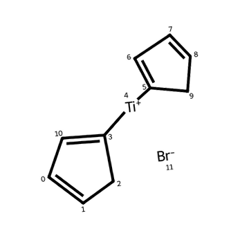 C1=CC[C]([Ti+][C]2=CC=CC2)=C1.[Br-]